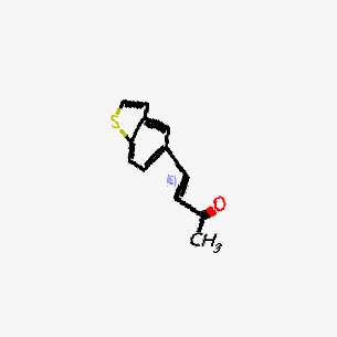 CC(=O)/C=C/c1ccc2sccc2c1